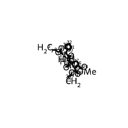 C=CCOC(=O)NC(C(=O)N[C@@H]1C(=O)N2C(C(=O)OCC=C)=C(C(=O)OC)CC[C@@H]12)c1ccccc1